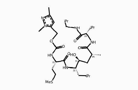 CSCC[C@H](NC(=O)OCc1cc(C)nn1C)C(=O)N[C@@H](CC(C)C)[C@@H](O)C[C@@H](C)C(=O)N[C@H](C(=O)NCC(C)C)C(C)C